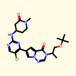 CC(COC(C)(C)C)n1cnn2cc(-c3nc(NC4CCN(C)C(=O)C4)ncc3Cl)cc2c1=O